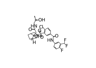 C[C@@H](O)CNC(=O)C[C@]1(O)C2CC[C@@H]1C[C@@H](S(=O)(=O)c1cc(C(=O)Nc3ccc(F)c(C(F)F)c3)ccc1Cl)C2